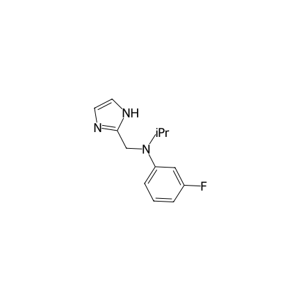 CC(C)N(Cc1ncc[nH]1)c1cccc(F)c1